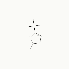 CC1CN=C(C(C)(C)C)N1